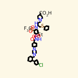 CCO[P@](=O)(NC(=O)c1ccc(N2CCN(Cc3ccccc3-c3ccc(Cl)cc3)CC2)cc1)c1ccc(NC(CCN2CCC(C(=O)O)CC2)CSc2ccccc2)c(S(=O)(=O)C(F)(F)F)c1